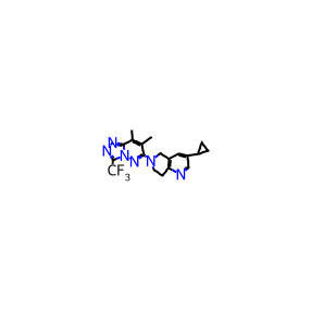 Cc1c(N2CCc3ncc(C4CC4)cc3C2)nn2c(C(F)(F)F)nnc2c1C